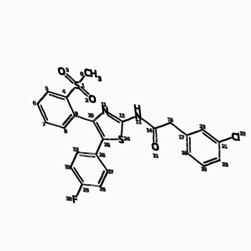 CS(=O)(=O)c1ccccc1-c1nc(NC(=O)Cc2cccc(Cl)c2)sc1-c1ccc(F)cc1